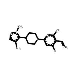 C=Cc1c(F)cc(N2CCC(c3c(C)cnn3C)CC2)nc1C(F)(F)F